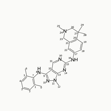 Cc1cccc(C)c1Nc1nn(C)c2nc(Nc3ccc4c(c3)CN(C)CC4(C)C)ncc12